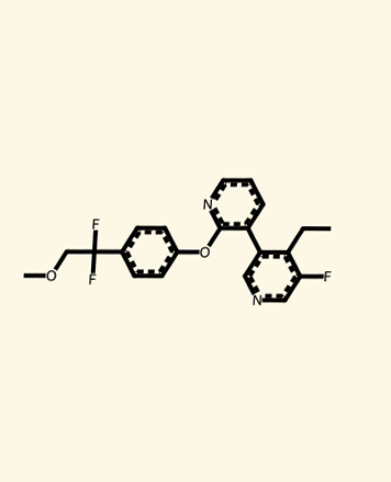 CCc1c(F)cncc1-c1cccnc1Oc1ccc(C(F)(F)COC)cc1